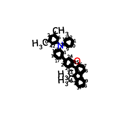 Cc1cc(C)cc(N(c2ccccc2)c2cccc(-c3ccc4c(c3)oc3ccc5c(c34)C(C)(C)c3ccccc3-5)c2)c1